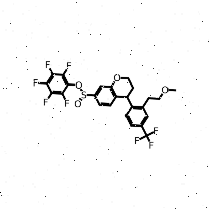 COCCc1cc(C(F)(F)F)ccc1C1CCOc2cc(S(=O)Oc3c(F)c(F)c(F)c(F)c3F)ccc21